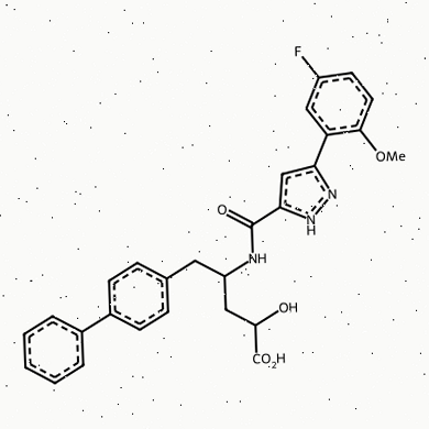 COc1ccc(F)cc1-c1cc(C(=O)NC(Cc2ccc(-c3ccccc3)cc2)CC(O)C(=O)O)[nH]n1